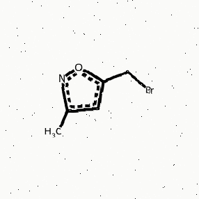 Cc1cc(CBr)on1